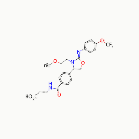 CCCOCCN1/C(=N/c2ccc(OC(F)(F)F)cc2)OCC1c1ccc(C(=O)NCCC(=O)O)cc1